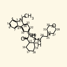 CCn1c2ccccc2c2cc(NC(=O)C3CCCCC3C(=O)NCCN3CCOCC3)ccc21